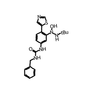 CC(C)(C)NN(O)c1cc(NC(=O)NCc2ccccc2)ccc1-c1cncs1